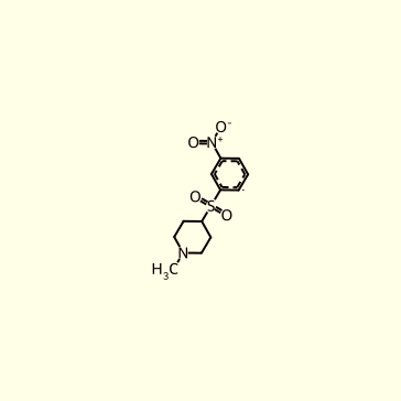 CN1CCC(S(=O)(=O)c2[c]ccc([N+](=O)[O-])c2)CC1